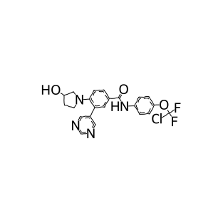 O=C(Nc1ccc(OC(F)(F)Cl)cc1)c1ccc(N2CCC(O)C2)c(-c2cncnc2)c1